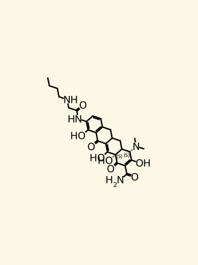 CCCCNCC(=O)Nc1ccc2c(c1O)C(=O)C1=C(O)[C@]3(O)C(=O)C(C(N)=O)=C(O)[C@@H](N(C)C)C3CC1C2